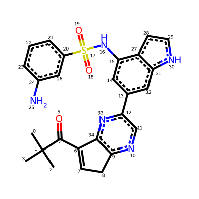 CC(C)(C)C(=O)C1=CCc2ncc(-c3cc(NS(=O)(=O)c4cccc(N)c4)c4cc[nH]c4c3)nc21